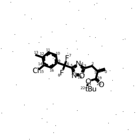 C=C(Cc1nc(C(F)(F)c2ccc(C)c(Cl)c2)no1)C(=O)OC(C)(C)C